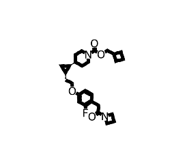 O=C(Cc1ccc(OCC[C@@H]2C[C@@H]2C2CCN(C(=O)OCC3CCC3)CC2)cc1F)N1CCC1